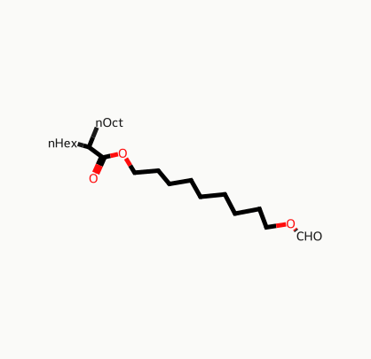 CCCCCCCCC(CCCCCC)C(=O)OCCCCCCCCCOC=O